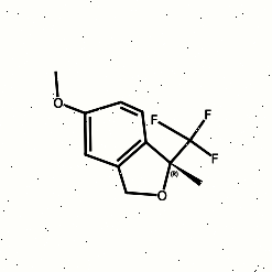 COc1ccc2c(c1)CO[C@@]2(C)C(F)(F)F